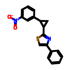 O=[N+]([O-])c1cccc(C2CC2c2nc(-c3ccccc3)cs2)c1